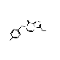 CCc1nnc2c(=O)n(Cc3ccc(Cl)cc3)ccn12